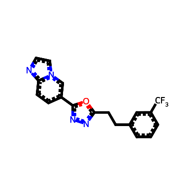 FC(F)(F)c1cccc(CCc2nnc(-c3ccc4nccn4c3)o2)c1